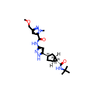 COCc1cc(C(=O)Nc2cc([C@H]3C[C@@H]4[C@H](C3)[C@H]4C(=O)NC(C)(C)C)[nH]n2)n(C)n1